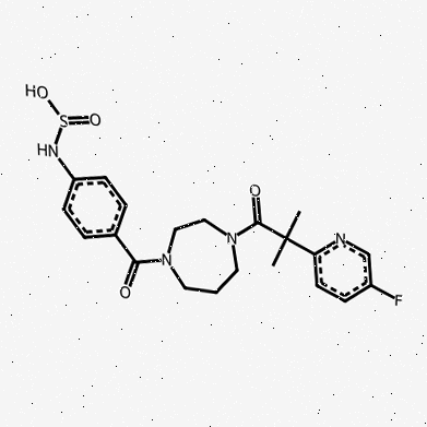 CC(C)(C(=O)N1CCCN(C(=O)c2ccc(NS(=O)O)cc2)CC1)c1ccc(F)cn1